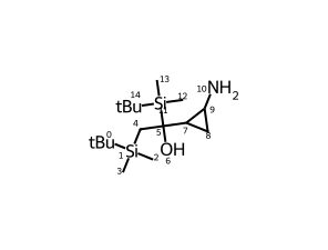 CC(C)(C)[Si](C)(C)CC(O)(C1CC1N)[Si](C)(C)C(C)(C)C